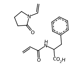 C=CC(=O)NC(Cc1ccccc1)C(=O)O.C=CN1CCCC1=O